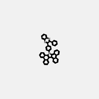 c1ccc(-c2nc3ccccc3nc2-c2ccc(-n3c4c5ccccc5c5ccccc5c4c4c5ccccc5c5ccccc5c43)cc2)cc1